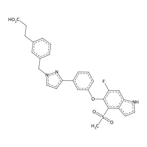 CS(=O)(=O)c1c(Oc2cccc(-c3ccn(Cc4cccc(CCC(=O)O)c4)n3)c2)c(F)cc2[nH]ccc12